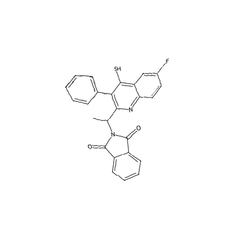 CC(c1nc2ccc(F)cc2c(S)c1-c1ccccc1)N1C(=O)c2ccccc2C1=O